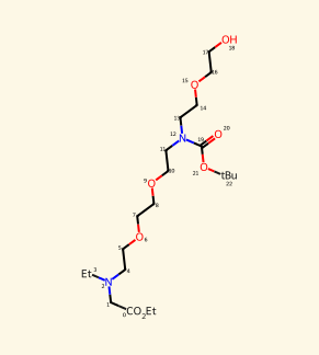 CCOC(=O)CN(CC)CCOCCOCCN(CCOCCO)C(=O)OC(C)(C)C